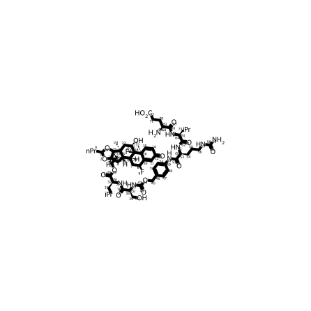 CCCC1O[C@@H]2C[C@H]3[C@@H]4C[C@H](F)C5=CC(=O)C=C[C@]5(C)[C@@]4(F)[C@@H](O)C[C@]3(C)[C@]2(C(=O)COC(=O)[C@H](CC(C)C)NC(=O)[C@H](CO)NC(=O)OCc2ccc(NC(=O)[C@H](CCCNC(N)=O)NC(=O)[C@@H](NC(=O)[C@@H](N)CCC(=O)O)C(C)C)cc2)O1